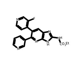 CCOC(=O)Nc1nc2cc(-c3ccncc3F)c(-c3cccnc3)nc2[nH]1